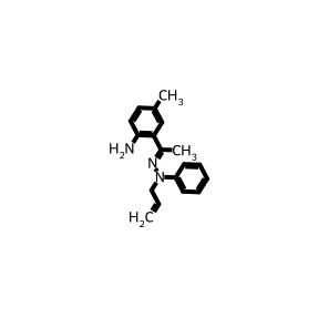 C=CCN(/N=C(\C)c1cc(C)ccc1N)c1ccccc1